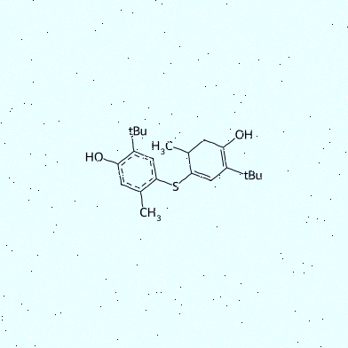 Cc1cc(O)c(C(C)(C)C)cc1SC1=CC(C(C)(C)C)=C(O)CC1C